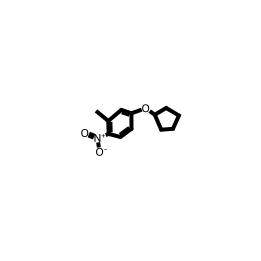 Cc1cc(OC2CCCC2)ccc1[N+](=O)[O-]